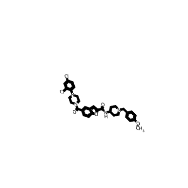 COc1ccc(CN2CCC(NC(=O)c3cc4cc(C(=O)N5CCN(c6ccc(Cl)cc6Cl)CC5)ccc4o3)CC2)cc1